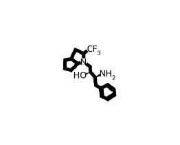 N[C@@H](Cc1ccccc1)[C@H](O)CN1C2CCCC2CC1C(F)(F)F